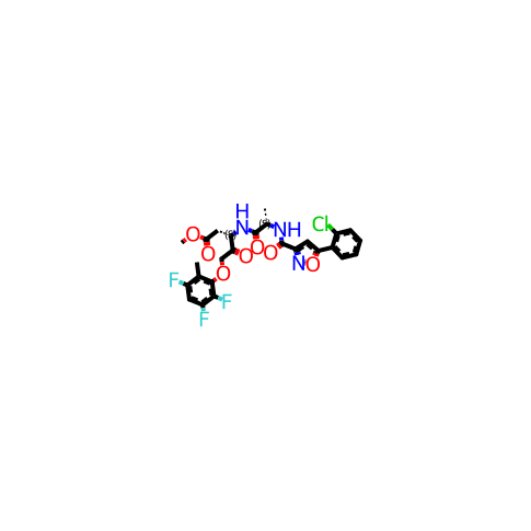 COC(=O)C[C@H](NC(=O)[C@H](C)NC(=O)c1cc(-c2ccccc2Cl)on1)C(=O)COc1c(C)c(F)cc(F)c1F